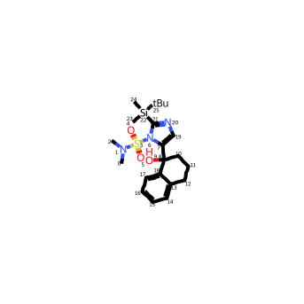 CN(C)S(=O)(=O)n1c(C2(O)CCCc3ccccc32)cnc1[Si](C)(C)C(C)(C)C